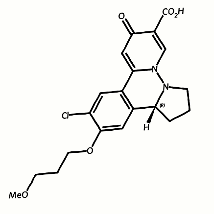 COCCCOc1cc2c(cc1Cl)-c1cc(=O)c(C(=O)O)cn1N1CCC[C@H]21